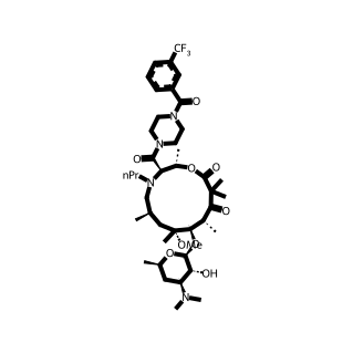 CCCN1C[C@H](C)C[C@@](C)(OC)[C@H](O[C@@H]2O[C@H](C)C[C@H](N(C)C)[C@H]2O)[C@@H](C)C(=O)C(C)(C)C(=O)O[C@@H](C)[C@@H]1C(=O)N1CCN(C(=O)c2cccc(C(F)(F)F)c2)CC1